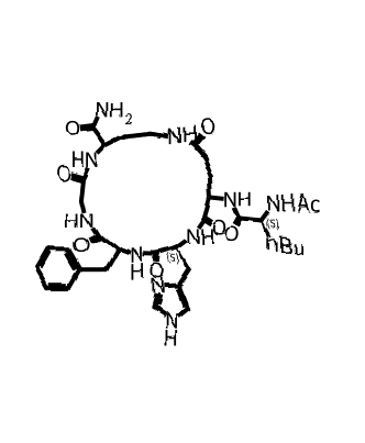 CCCC[C@H](NC(C)=O)C(=O)NC1CCC(=O)NCCC(C(N)=O)NC(=O)CNC(=O)C(Cc2ccccc2)NC(=O)[C@H](Cc2c[nH]cn2)NC1=O